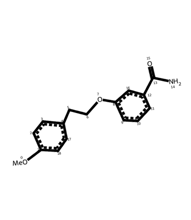 COc1ccc(CCOc2cccc(C(N)=O)c2)cc1